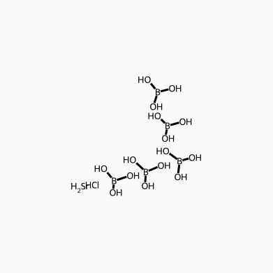 Cl.OB(O)O.OB(O)O.OB(O)O.OB(O)O.OB(O)O.[SrH2]